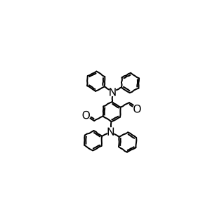 O=Cc1cc(N(c2ccccc2)c2ccccc2)c(C=O)cc1N(c1ccccc1)c1ccccc1